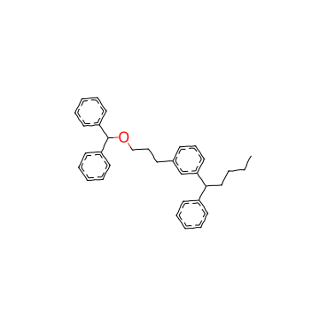 CCCCC(c1ccccc1)c1cccc(CCCOC(c2ccccc2)c2ccccc2)c1